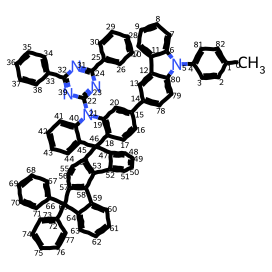 Cc1ccc(-n2c3ccccc3c3cc(-c4ccc5c(c4)N(c4nc(-c6ccccc6)nc(-c6ccccc6)n4)c4ccccc4C54c5ccccc5-c5c4ccc4c5-c5ccccc5C4(c4ccccc4)c4ccccc4)ccc32)cc1